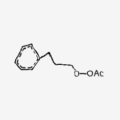 CC(=O)OOCCCc1ccccc1